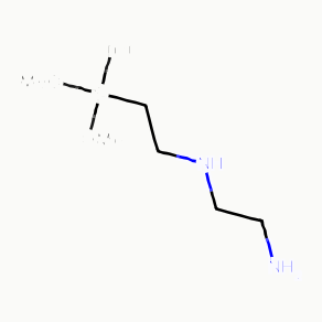 CCC[Si](CCNCCN)(OC)OC